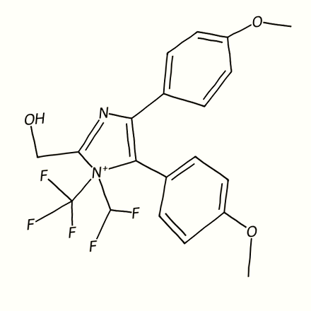 COc1ccc(C2=C(c3ccc(OC)cc3)[N+](C(F)F)(C(F)(F)F)C(CO)=N2)cc1